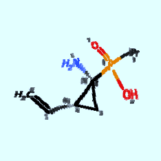 C=C[C@H]1C[C@]1(N)P(=O)(O)C(C)C